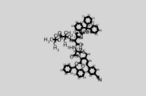 CC(C)(C)OC(=O)C(C)(C)ON=C(C(=O)NC1C(=O)N2C(C(=O)OC(c3ccccc3)c3ccccc3)=C(C=Cc3ccc(C#N)cc3)CS[C@@H]12)c1csc(NC(c2ccccc2)(c2ccccc2)c2ccccc2)n1